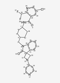 O=C(NC1CCC(CN2C(=O)C3(CN(c4ccncc4)C3)c3ccccc32)CC1)c1cc(Cl)cnc1C(F)F